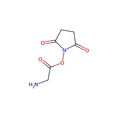 NCC(=O)ON1C(=O)CCC1=O